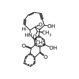 CO[C@H](C)[C@@]12O[C@]13c1cc(O)c4c(c1N[C@H]2C#C/C=C\C#CC3O)C(=O)c1ccccc1C4=O